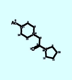 CC(=O)N1CCN(CC(=O)N2CCCC2)CC1